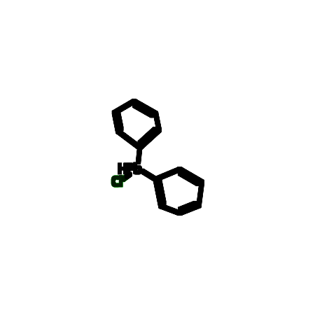 [Cl][PbH]([c]1ccccc1)[c]1ccccc1